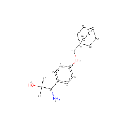 CC(C)(O)C(N)c1ccc(OCC23CCC(CC2)CC3)cc1